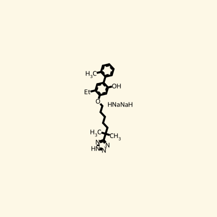 CCc1cc(-c2ccccc2C)c(O)cc1OCCCCCC(C)(C)c1nn[nH]n1.[NaH].[NaH]